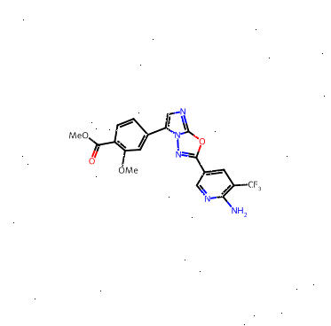 COC(=O)c1ccc(-c2cnc3oc(-c4cnc(N)c(C(F)(F)F)c4)nn23)cc1OC